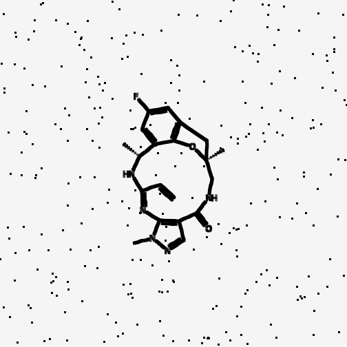 C=C/C1=N\c2c(cnn2C)C(=O)NC[C@]2(C)Cc3cc(F)cc(c3O2)[C@@H](C)N1